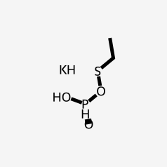 CCSO[PH](=O)O.[KH]